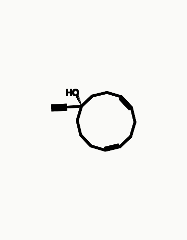 C#C[C@@]1(O)CCC=CCCC=CCCC1